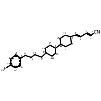 N#CC=CC=CC1CCC(C2CCC(CCCCc3ccc(F)cc3)CC2)CC1